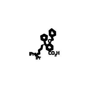 CC(C)N(CCCC[C@H](c1ccccc1)c1cc(C(=O)O)ccc1OCc1ccccc1)C(C)C